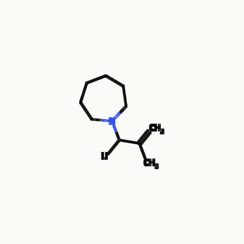 [Li][CH](C(=C)C)N1CCCCCC1